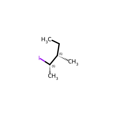 CC[C@H](C)[C@H](C)I